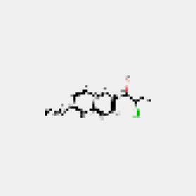 COc1ccc2cc(C(=O)C(C)Cl)ccc2c1